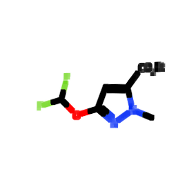 CCOC(=O)c1cc(OC(F)F)nn1C